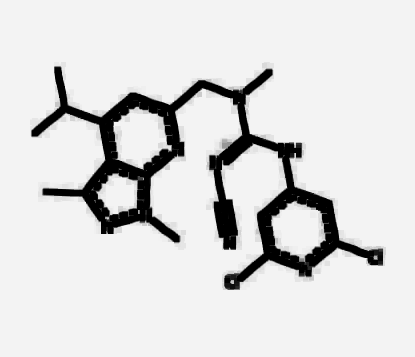 Cc1nn(C)c2nc(CN(C)/C(=N/C#N)Nc3cc(Cl)nc(Cl)c3)cc(C(C)C)c12